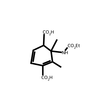 CCOC(=O)NC1(C)C(C)=C(C(=O)O)C=CC1C(=O)O